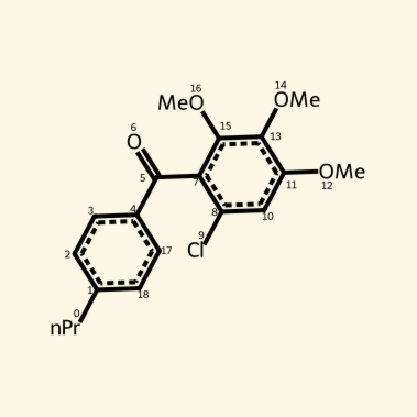 CCCc1ccc(C(=O)c2c(Cl)cc(OC)c(OC)c2OC)cc1